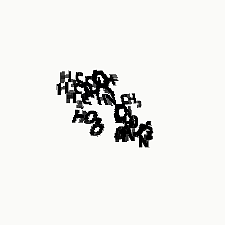 Cc1nc(S(=O)(=O)Nc2cscn2)ccc1NCc1c(F)cccc1CN(C)C(C)(C)C.O=CO